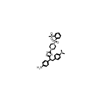 CN(C)c1ccc(CC(c2ccc(N)cc2)c2nsc(N3CCN(S(=O)(=O)c4ccccc4S(C)(=O)=O)CC3)n2)cc1